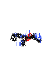 CC(C)c1ccccc1C1CCCN1C1CC2(CCN(c3cc(Oc4cnc5[nH]ccc5c4)c(C(=O)NS(=O)(=O)c4ccc(NCCCN(C)C)c(N)c4)cn3)CC2)C1